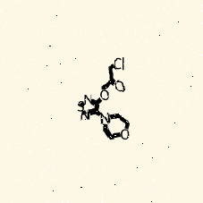 O=C(CCl)COc1nsnc1N1CCOCC1